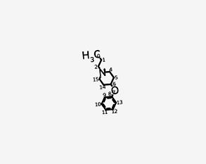 CCCN1CCC(Oc2ccccc2)CC1